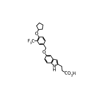 O=C(O)CCc1cc2cc(OCc3ccc(OC4CCCC4)c(C(F)(F)F)c3)ccc2[nH]1